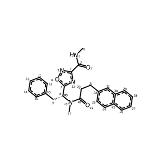 CNC(=O)c1noc([C@@H](Cc2ccccc2)N(C)C(=O)[CH]Cc2ccc3ccccc3c2)n1